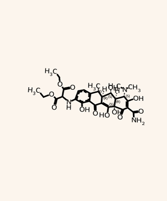 CCOC(=O)C(Nc1ccc2c(c1O)C(=O)C1=C(O)[C@]3(O)C(=O)C(C(N)=O)=C(O)[C@@H](N(C)C)[C@@H]3[C@@H](O)[C@@H]1[C@H]2C)C(=O)OCC